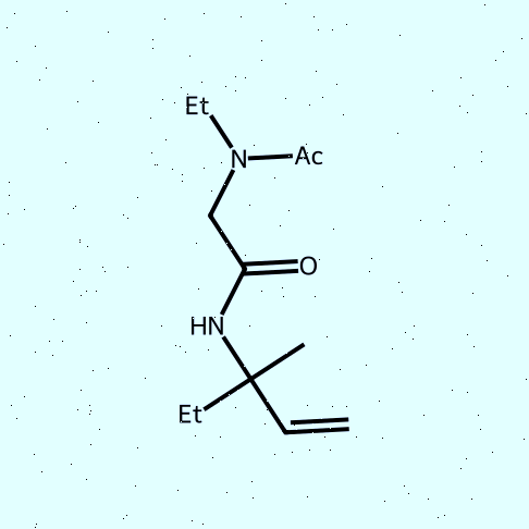 C=CC(C)(CC)NC(=O)CN(CC)C(C)=O